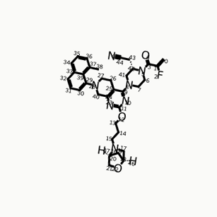 C=C(F)C(=O)N1CCN(c2nc(OCCCN3C[C@@H]4C[C@H]3CO4)nc3c2CCN(c2cccc4cccc(C)c24)C3)C[C@@H]1CC#N